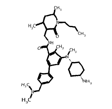 CCCCN1C(=O)C(CNC(=O)c2cc(-c3ccc(CN(C)C)cc3)cc(N(C)[C@H]3CC[C@@H](N)CC3)c2C)C(C)CC1C